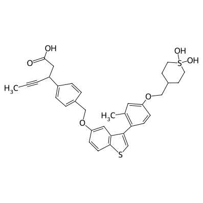 CC#CC(CC(=O)O)c1ccc(COc2ccc3scc(-c4ccc(OCC5CCS(O)(O)CC5)cc4C)c3c2)cc1